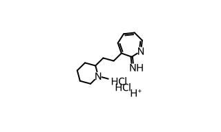 CN1CCCCC1CCc1ccccnc1=N.Cl.Cl.[H+]